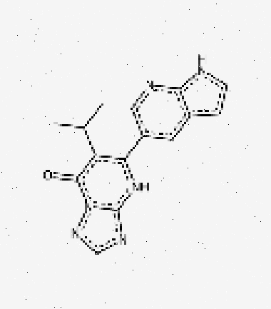 CC(C)c1c(-c2cnc3[nH]ccc3c2)[nH]c2ncnn2c1=O